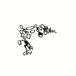 O=S(=O)([O-])[O-].O=S(=O)([O-])[O-].O=S(=O)([O-])[O-].OO.OO.[Fe+3].[Fe+3]